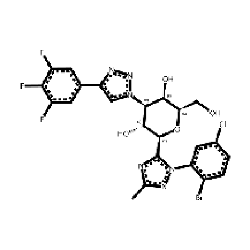 Cc1nc([C@@H]2O[C@H](CO)[C@H](O)[C@H](n3cc(-c4cc(F)c(F)c(F)c4)nn3)[C@H]2O)n(-c2cc(Cl)ccc2Br)n1